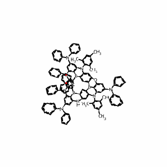 Cc1cc(C)c(N2c3cc4c(cc3B3c5cc6c(cc5Oc5cc(N(c7ccccc7)c7ccccc7)cc2c53)N(c2c(C)cc(C)cc2C)c2cc(N(c3ccccc3)c3ccccc3)cc3c2B6c2sc5ccccc5c2N3c2ccccc2)B2c3sc5ccccc5c3N(c3ccccc3)c3cc(N(c5ccccc5)c5ccccc5)cc(c32)N4)c(C)c1